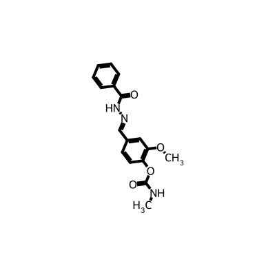 CNC(=O)Oc1ccc(C=NNC(=O)c2ccccc2)cc1OC